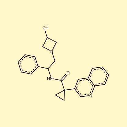 O=C(NC(CN1CC(O)C1)c1ccccc1)C1(c2cnc3ccccc3c2)CC1